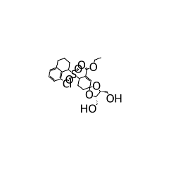 CCOC(=O)C1=CC2(CCC1S(=O)(=O)C1CCCc3cccc(Cl)c31)O[C@@H](CO)[C@H](CO)O2